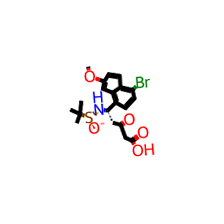 COc1ccc2c(Br)ccc([C@H](CC(=O)CC(=O)O)N[S@+]([O-])C(C)(C)C)c2c1